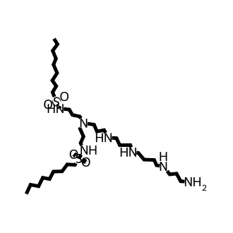 CCCCCCCCCS(=O)(=O)NCCCN(CCCNCCCNCCCCNCCCN)CCCNS(=O)(=O)CCCCCCCCC